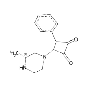 C[C@@H]1CN(C2C(=O)C(=O)C2c2ccccc2)CCN1